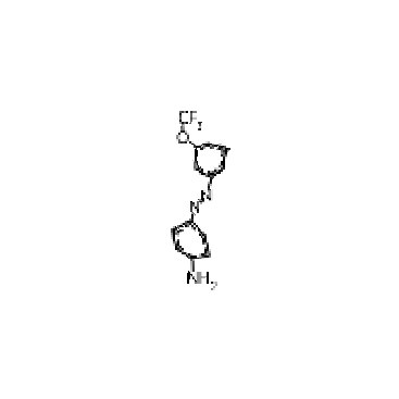 Nc1ccc(/N=N/c2cccc(OC(F)(F)F)c2)cc1